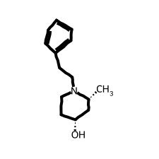 C[C@@H]1C[C@H](O)CCN1CCc1ccccc1